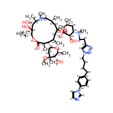 CC[C@H]1OC(=O)[C@H](C)[C@@H](C2C[C@@](C)(OC)[C@@H](O)[C@H](C)O2)[C@H](C)[C@@H](O[C@@H]2O[C@H](C)C[C@H](N(C)CCc3cn(CCCCc4ccc(-n5ccnc5)cc4)nn3)[C@H]2O)[C@](C)(O)C[C@@H](C)CN(C)[C@H](C)[C@@H](O)[C@]1(C)O